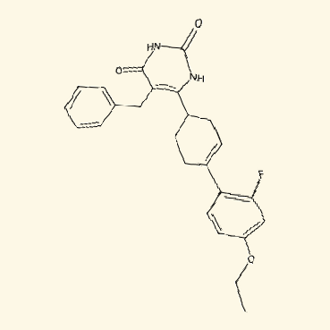 CCOc1ccc(C2=CCC(c3[nH]c(=O)[nH]c(=O)c3Cc3ccccc3)CC2)c(F)c1